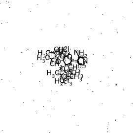 CC(C)[Si](O[C@@H]1[C@@H](CCl)O[C@@H](c2ccncc2N)C[C@H]1O[Si](C(C)C)(C(C)C)C(C)C)(C(C)C)C(C)C